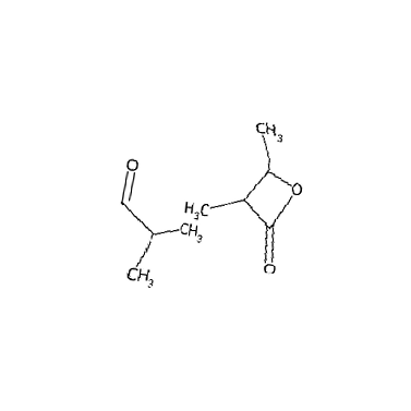 CC(C)C=O.CC1OC(=O)C1C